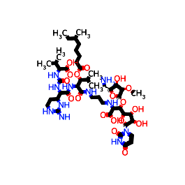 CCC(C)CCCCC(=O)OC(C(C)C)C(NC(=O)C(NC(=O)NC(C(=O)O)C(C)C)C1CCNC(=N)N1)C(=O)NCCCNC(C(=O)O)C(O[C@@H]1O[C@H](CN)[C@@H](O)[C@H]1OC)C1O[C@@H](n2ccc(=O)[nH]c2=O)C(O)C1O